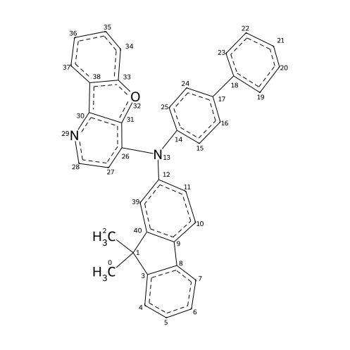 CC1(C)c2ccccc2-c2ccc(N(c3ccc(-c4ccccc4)cc3)c3ccnc4c3oc3ccccc34)cc21